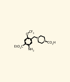 CCOC(=O)c1cc(OC(F)(F)F)c(CN2CCN(C(=O)O)CC2)cc1N